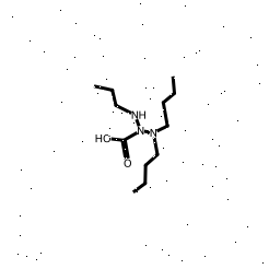 CCCCN(CCCC)N(NCCC)C(=O)O